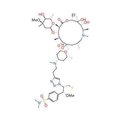 CC[C@H]1OC(=O)[C@H](C)[C@@H](O[C@H]2C[C@@](C)(OC)[C@@H](O)[C@H](C)O2)[C@H](C)[C@@H](O[C@H]2C[C@@H](N(C)CCc3cn([C@H](CF)[C@H](OC)c4ccc(S(=O)(=O)N(C)C)cc4)nn3)C[C@@H](C)O2)[C@](C)(O)C[C@@H](C)CN(C)[C@H](C)[C@@H](O)[C@]1(C)O